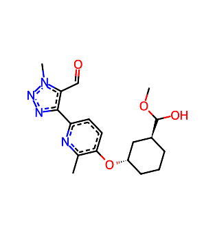 COC(O)[C@H]1CCC[C@H](Oc2ccc(-c3nnn(C)c3C=O)nc2C)C1